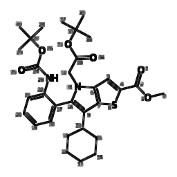 COC(=O)c1cc2c(s1)c(C1CCCCC1)c(-c1ccccc1NC(=O)OC(C)(C)C)n2CC(=O)OC(C)(C)C